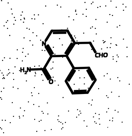 NC(=O)c1nccc(CC=O)c1-c1ccccc1